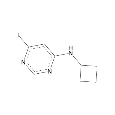 Ic1cc(NC2CCC2)ncn1